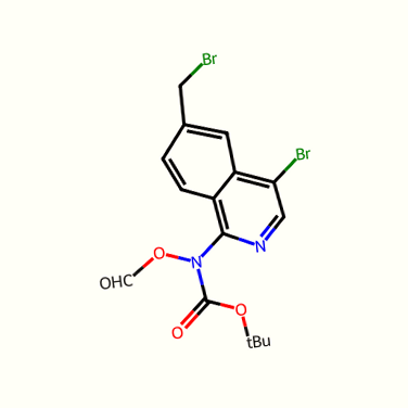 CC(C)(C)OC(=O)N(OC=O)c1ncc(Br)c2cc(CBr)ccc12